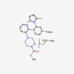 COc1ccc(-c2ncccc2N2CCN(C(=O)OC(C)(C)C)[C@@H](C(C)(C)O[SiH2]C(C)(C)C)C2)c(-n2c(C)ccc2C)c1